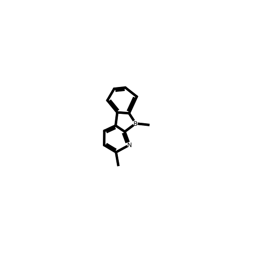 CB1c2ccccc2-c2ccc(C)nc21